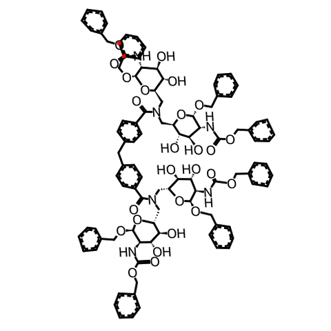 O=C(N[C@H]1[C@@H](OCc2ccccc2)O[C@H](CN(C[C@H]2O[C@H](OCc3ccccc3)[C@H](NC(=O)OCc3ccccc3)[C@@H](O)[C@@H]2O)C(=O)c2ccc(Cc3ccc(C(=O)N(C[C@H]4O[C@H](OCc5ccccc5)[C@H](NC(=O)OCc5ccccc5)[C@@H](O)[C@@H]4O)C[C@H]4O[C@H](OCc5ccccc5)[C@H](NC(=O)OCc5ccccc5)[C@@H](O)[C@@H]4O)cc3)cc2)[C@@H](O)[C@@H]1O)OCc1ccccc1